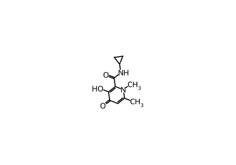 Cc1cc(=O)c(O)c(C(=O)NC2CC2)n1C